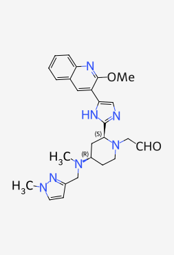 COc1nc2ccccc2cc1-c1cnc([C@@H]2C[C@H](N(C)Cc3ccn(C)n3)CCN2CC=O)[nH]1